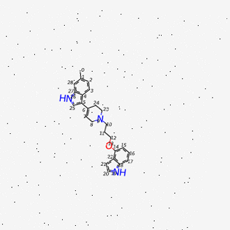 Cc1ccc2c(C3=CCN(CCCOc4cccc5[nH]ccc45)CC3)c[nH]c2c1